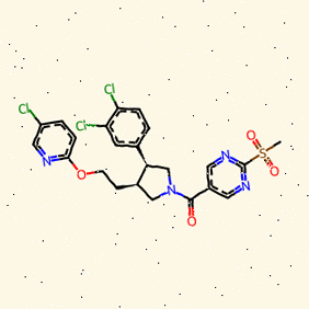 CS(=O)(=O)c1ncc(C(=O)N2C[C@@H](CCOc3ccc(Cl)cn3)[C@@H](c3ccc(Cl)c(Cl)c3)C2)cn1